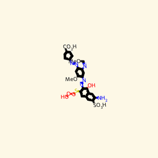 CO/C=N\c1cc(N=Nc2c(SOOO)cc3cc(S(=O)(=O)O)c(N)cc3c2O)c(OC)cc1N=Nc1ccc(C(=O)O)cc1